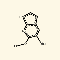 CCOc1nc2[nH]ccc2cc1C(C)(C)C